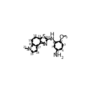 COc1ccc(N)cc1Nc1nc2c(ccc3c2ccn3C)s1